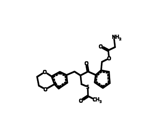 CC(=O)SCC(Cc1ccc2c(c1)OCCO2)C(=O)c1ccccc1COC(=O)CN